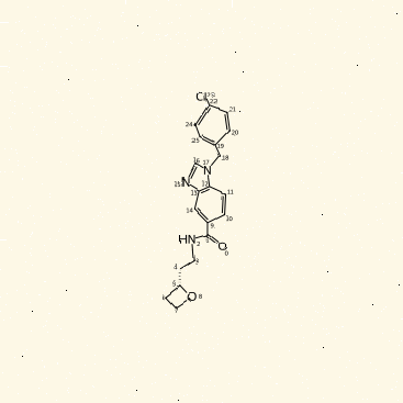 O=C(NCC[C@H]1CCO1)c1ccc2c(c1)ncn2Cc1ccc(Cl)cc1